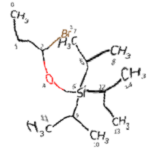 CCC(Br)O[Si](C(C)C)(C(C)C)C(C)C